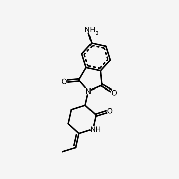 C/C=C1\CCC(N2C(=O)c3ccc(N)cc3C2=O)C(=O)N1